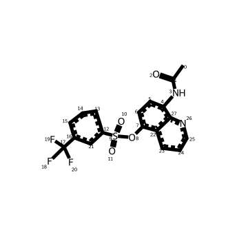 CC(=O)Nc1ccc(OS(=O)(=O)c2cccc(C(F)(F)F)c2)c2cccnc12